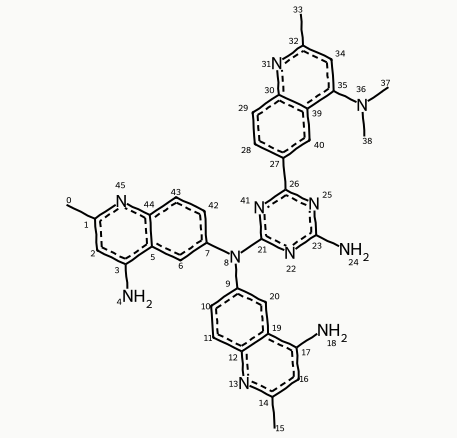 Cc1cc(N)c2cc(N(c3ccc4nc(C)cc(N)c4c3)c3nc(N)nc(-c4ccc5nc(C)cc(N(C)C)c5c4)n3)ccc2n1